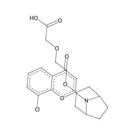 O=C(O)COCCOC1CC2CCC(C1)N2c1cc(=O)c2cccc(Cl)c2o1